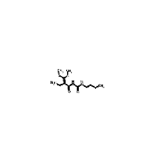 CCCCNC(=O)NC(=O)C(CC)=C(SC)SC